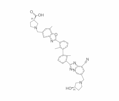 Cc1c(-c2nc3c(C#N)cc(CN4CC[C@@H](O)C4)cn3n2)cccc1-c1cccc(-c2nc3cc(CN4CC[C@@H](C(=O)O)C4)cc(C)c3o2)c1C